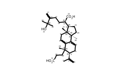 C=C(C)[C@@H]1CC=C2C(=CC[C@]3(C)[C@@H]([C@@H](CCC(=C)C(C)(C)O)C(=O)O)CC[C@@]23C)[C@@]1(C)CCC(=O)O